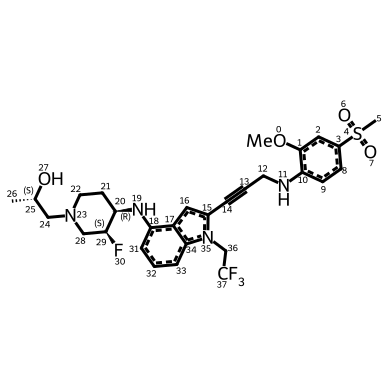 COc1cc(S(C)(=O)=O)ccc1NCC#Cc1cc2c(N[C@@H]3CCN(C[C@H](C)O)C[C@@H]3F)cccc2n1CC(F)(F)F